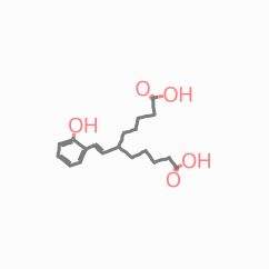 O=C(O)CCCCC(C=Cc1ccccc1O)CCCCC(=O)O